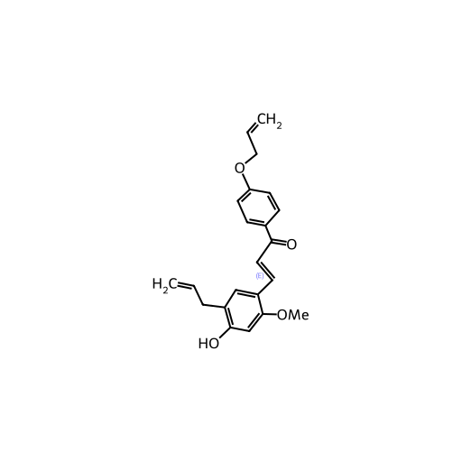 C=CCOc1ccc(C(=O)/C=C/c2cc(CC=C)c(O)cc2OC)cc1